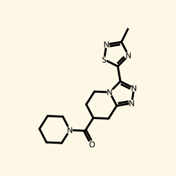 Cc1nsc(-c2nnc3n2CCC(C(=O)N2CCCCC2)C3)n1